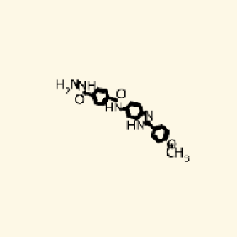 COc1ccc(-c2nc3ccc(NC(=O)c4ccc(C(=O)NN)cc4)cc3[nH]2)cc1